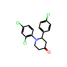 O=C1CCN(c2ccc(Cl)cc2Cl)C(c2ccc(Cl)cc2)C1